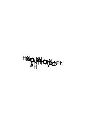 CCN1CCc2c(nn(-c3ccc(-c4nc(Nc5ccc6[nH]ncc6c5C5CC5)n(C)n4)cc3)c2C)C1